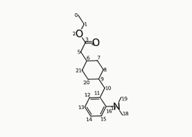 CCOC(=O)CC1CCC(Cc2ccccc2N(C)C)CC1